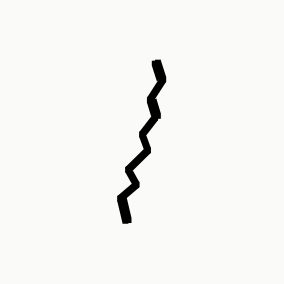 C=CC=CCCCCC=C